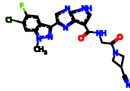 Cn1nc(-c2cnc3[nH]cc(C(=O)NCC(=O)N4CC(C#N)C4)c3n2)c2cc(F)c(Cl)cc21